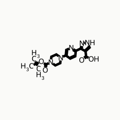 CC(C)(C)OC(=O)N1CCN(c2ccc(-c3n[nH]cc3C(=O)O)nc2)CC1